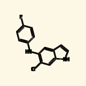 Fc1ccc(Nc2cc3cc[nH]c3cc2Cl)cc1